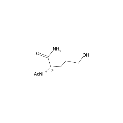 CC(=O)N[C@@H](CCCO)C(N)=O